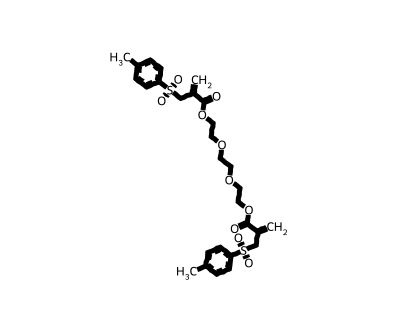 C=C(CS(=O)(=O)c1ccc(C)cc1)C(=O)OCCOCCOCCOC(=O)C(=C)CS(=O)(=O)c1ccc(C)cc1